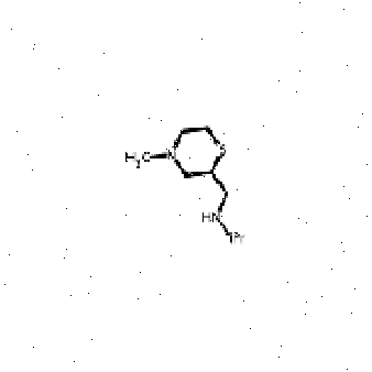 CC(C)NCC1CN(C)CCS1